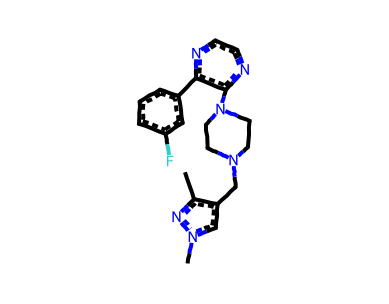 Cc1nn(C)cc1CN1CCN(c2nccnc2-c2cccc(F)c2)CC1